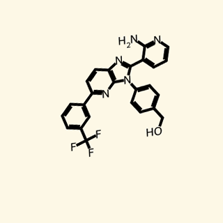 Nc1ncccc1-c1nc2ccc(-c3cccc(C(F)(F)F)c3)nc2n1-c1ccc(CO)cc1